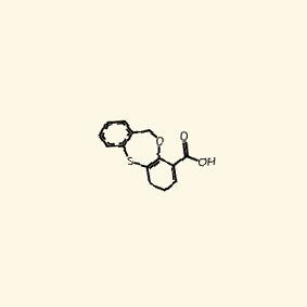 O=C(O)C1=CCCC2=C1OCc1ccccc1S2